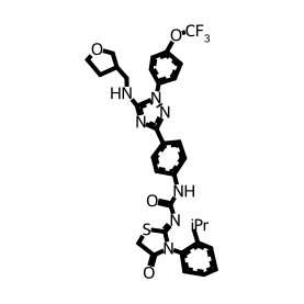 CC(C)c1ccccc1N1C(=O)CS/C1=N\C(=O)Nc1ccc(-c2nc(NCC3CCOC3)n(-c3ccc(OC(F)(F)F)cc3)n2)cc1